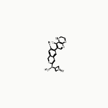 CC(=O)N1CC(N(C(=O)O)c2cc3cc(-c4cnc5c(c4C)NCCO5)c(F)cc3cn2)C1